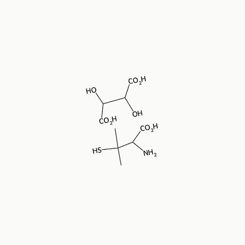 CC(C)(S)C(N)C(=O)O.O=C(O)C(O)C(O)C(=O)O